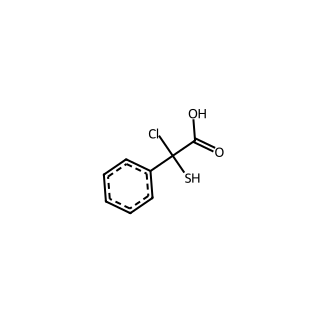 O=C(O)C(S)(Cl)c1ccccc1